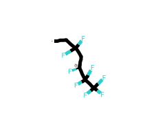 [CH2]CC(F)(F)C[C@H](F)C(F)(F)C(F)(F)F